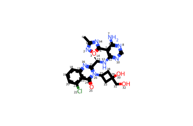 Cc1noc(-c2c(N)ncnc2N[C@@H](C)c2nc3cccc(Cl)c3c(=O)n2C2CC(O)(CO)C2)n1